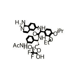 CCOc1cc(C(Nc2ccc3c(N)nccc3c2)C(=O)N[C@H](CC(=O)O)c2cccc(NC(C)=O)c2)ccc1OC(C)C.O=C(O)C(F)(F)F